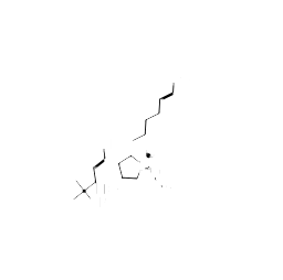 CCCCC(C)(C)C/C=C(/O)[C@H]1[C@@H](O)CS(=O)(=O)[C@H]1CCCCC=CC(=O)[O-].[Na+]